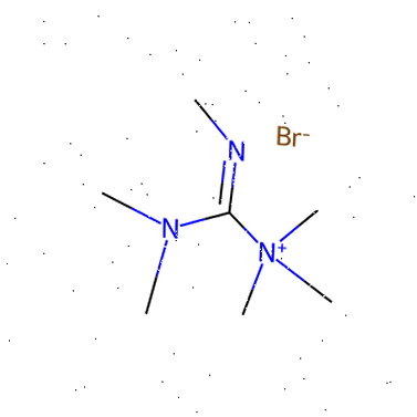 C/N=C(\N(C)C)[N+](C)(C)C.[Br-]